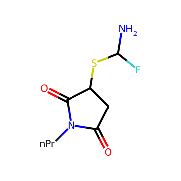 CCCN1C(=O)CC(SC(N)F)C1=O